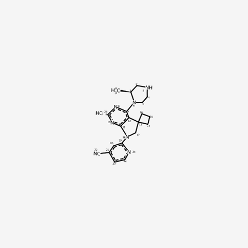 C[C@H]1CNCCN1c1ncnc2c1C1(CCC1)CN2c1cc(C#N)ccn1.Cl